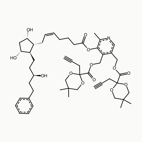 C#CCC1(C(=O)OCc2cnc(C)c(OC(=O)CCC/C=C\C[C@@H]3[C@@H](CC[C@@H](O)CCc4ccccc4)[C@H](O)C[C@@H]3O)c2COC(=O)C2(CC#C)OCC(C)(C)CO2)OCC(C)(C)CO1